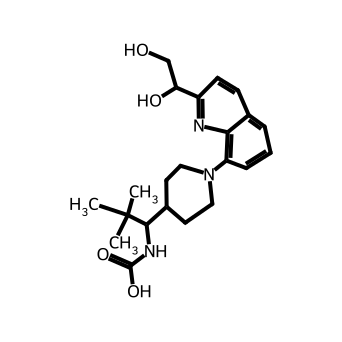 CC(C)(C)C(NC(=O)O)C1CCN(c2cccc3ccc(C(O)CO)nc23)CC1